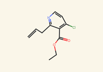 C=CCc1nccc(Cl)c1C(=O)OCC